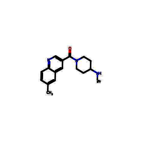 Cc1ccc2ncc(C(=O)N3CCC(NC(C)C)CC3)cc2c1